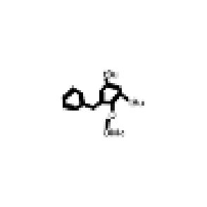 COCOc1c(Cc2ccccc2)cc(C(C)(C)C)cc1C(C)(C)C